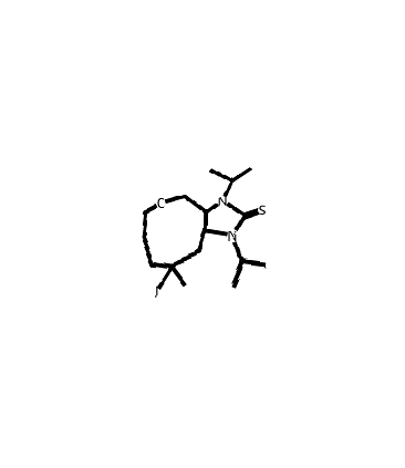 CC(C)N1C(=S)N(C(C)C)C2CC(C)(I)CCCCCC21